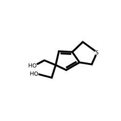 OCC1(CO)C=C2CSCC2=C1